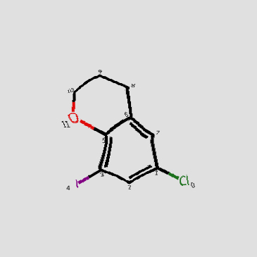 Clc1cc(I)c2c(c1)CCCO2